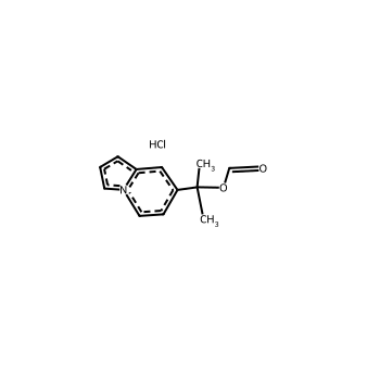 CC(C)(OC=O)c1ccn2cccc2c1.Cl